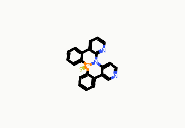 S=P12c3ccccc3-c3cnccc3N1c1ncccc1-c1ccccc12